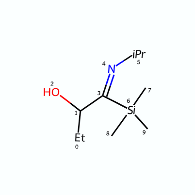 CCC(O)C(=NC(C)C)[Si](C)(C)C